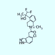 C[C@H]1c2cccc(C(C)(O)C(F)F)c2CCN1C(=O)Cc1c(Cl)ccc2[nH]ncc12